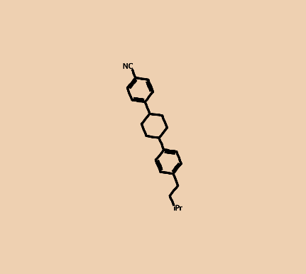 CC(C)CCc1ccc(C2CCC(c3ccc(C#N)cc3)CC2)cc1